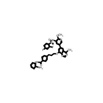 COc1ncc(-c2cc(OCCCc3ccc(C(=O)Nc4ccccc4N)cc3)c3ncnc(C)c3c2)cc1NS(=O)(=O)c1ccc(F)cc1F